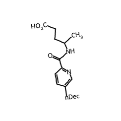 CCCCCCCCCCc1ccc(C(=O)NC(C)CCC(=O)O)nc1